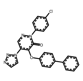 O=c1c(Oc2ccc(-c3ccccc3)cc2)c(-n2ccnn2)cnn1-c1ccc(Cl)cc1